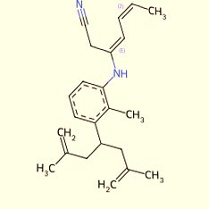 C=C(C)CC(CC(=C)C)c1cccc(N/C(=C/C=C\C)CC#N)c1C